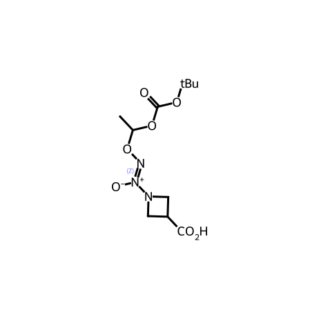 CC(O/N=[N+](\[O-])N1CC(C(=O)O)C1)OC(=O)OC(C)(C)C